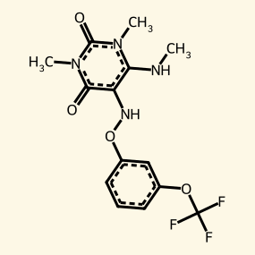 CNc1c(NOc2cccc(OC(F)(F)F)c2)c(=O)n(C)c(=O)n1C